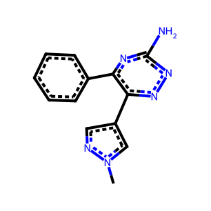 Cn1cc(-c2nnc(N)nc2-c2ccccc2)cn1